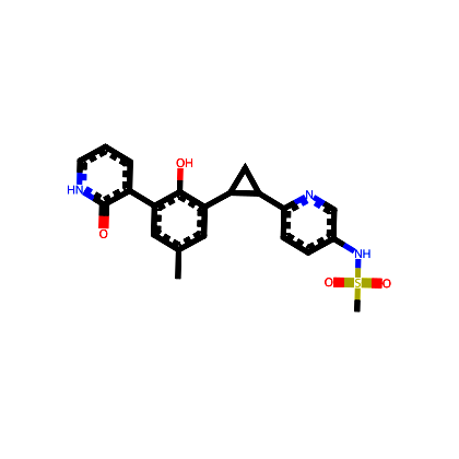 Cc1cc(-c2ccc[nH]c2=O)c(O)c(C2CC2c2ccc(NS(C)(=O)=O)cn2)c1